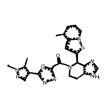 Cc1cccn2nc(C3c4nc[nH]c4CCN3C(=O)c3nnc(-c4cnn(C)c4C)o3)cc12